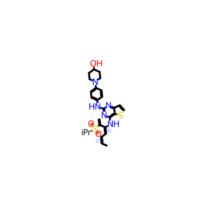 C=C(/C(=C\C=C/C)Nc1nc(Nc2ccc(N3CCC(O)CC3)cc2)nc2ccsc12)S(=O)(=O)C(C)C